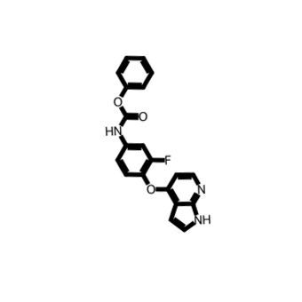 O=C(Nc1ccc(Oc2ccnc3[nH]ccc23)c(F)c1)Oc1ccccc1